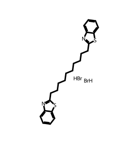 Br.Br.c1ccc2sc(CCCCCCCCCCc3nc4ccccc4s3)nc2c1